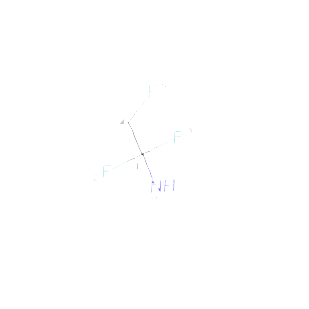 [NH]C(F)(F)CF